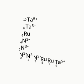 [N-3].[N-3].[N-3].[N-3].[N-3].[Ru].[Ru].[Ru].[Ta+5].[Ta+5].[Ta+5]